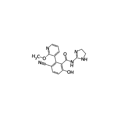 COc1ncccc1-c1c(C#N)ccc(O)c1C(=O)NC1=NCCN1